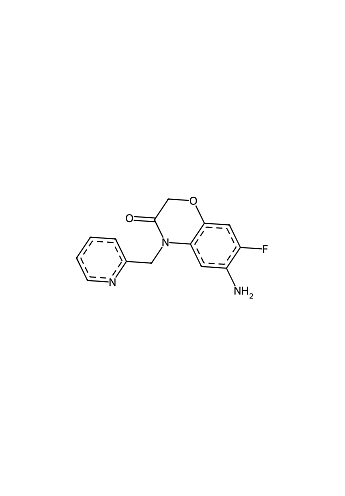 Nc1cc2c(cc1F)OCC(=O)N2Cc1ccccn1